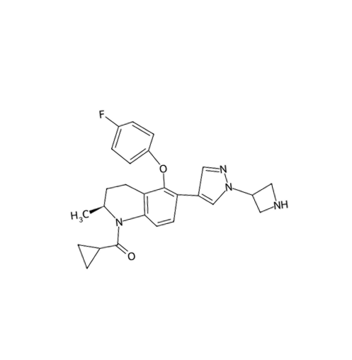 C[C@H]1CCc2c(ccc(-c3cnn(C4CNC4)c3)c2Oc2ccc(F)cc2)N1C(=O)C1CC1